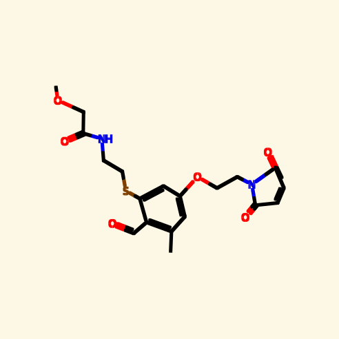 COCC(=O)NCCSc1cc(OCCN2C(=O)C=CC2=O)cc(C)c1C=O